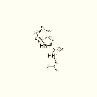 CC(C)CNC(=O)c1cc2ccccc2[nH]1